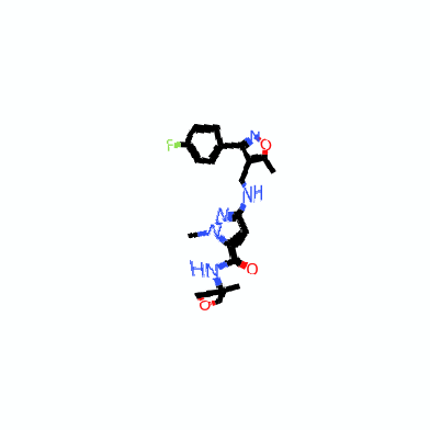 Cc1onc(-c2ccc(F)cc2)c1CNc1cc(C(=O)NC2(C)COC2)n(C)n1